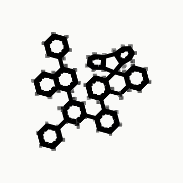 c1ccc(-c2nc(-c3ccccc3-c3cccc4c3Sc3ccccc3C43c4ccccc4-c4ccccc43)cc(-c3ccc(-c4ccccc4)c4ccccc34)n2)cc1